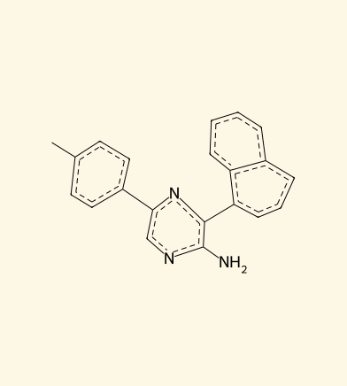 Cc1ccc(-c2cnc(N)c(-c3cccc4ccccc34)n2)cc1